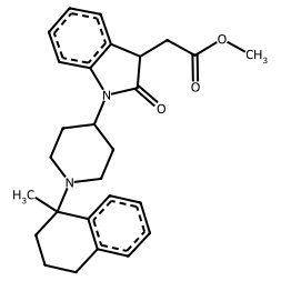 COC(=O)CC1C(=O)N(C2CCN(C3(C)CCCc4ccccc43)CC2)c2ccccc21